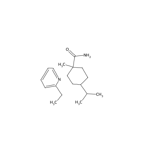 CC(C)C1CCC(C)(C(N)=O)CC1.CCc1ccccn1